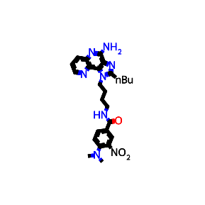 CCCCc1nc2c(N)nc3cccnc3c2n1CCCCNC(=O)c1ccc(N(C)C)c([N+](=O)[O-])c1